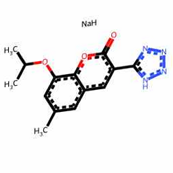 Cc1cc(OC(C)C)c2oc(=O)c(-c3nnn[nH]3)cc2c1.[NaH]